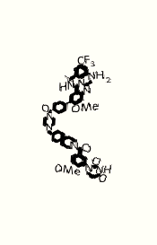 COc1ccc(C(=O)N2CCC3(CCC(CN4CCN(C(=O)[C@H]5CC[C@H](c6cc7c(N[C@H](C)c8cc(N)cc(C(F)(F)F)c8)nc(C)nc7cc6OC)CC5)CC4)CC3)CC2)cc1N1CCC(=O)NC1=O